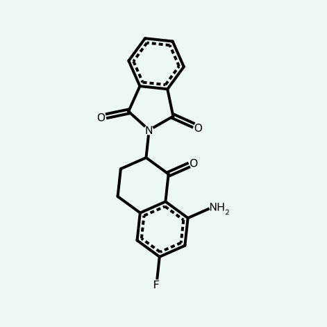 Nc1cc(F)cc2c1C(=O)C(N1C(=O)c3ccccc3C1=O)CC2